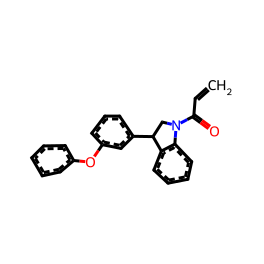 C=CC(=O)N1CC(c2cccc(Oc3ccccc3)c2)c2ccccc21